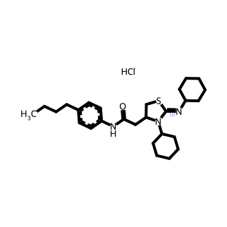 CCCCc1ccc(NC(=O)CC2CS/C(=N\C3CCCCC3)N2C2CCCCC2)cc1.Cl